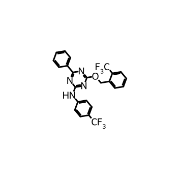 FC(F)(F)c1ccc(Nc2nc(OCc3ccccc3C(F)(F)F)nc(-c3ccccc3)n2)cc1